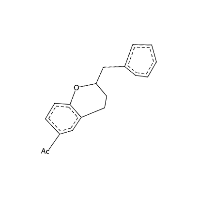 CC(=O)c1ccc2c(c1)CCC(Cc1ccccc1)O2